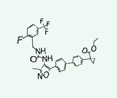 CCOC(=O)C1(c2ccc(-c3ccc(-c4onc(C)c4NC(=O)NCc4cc(C(F)(F)F)ccc4F)cc3)cc2)CC1